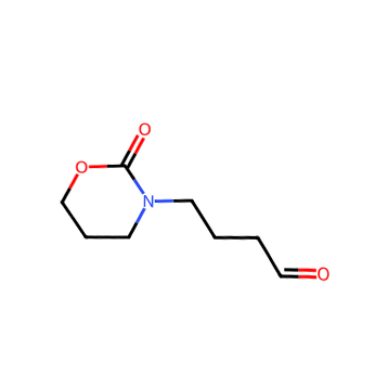 O=CCCCN1CCCOC1=O